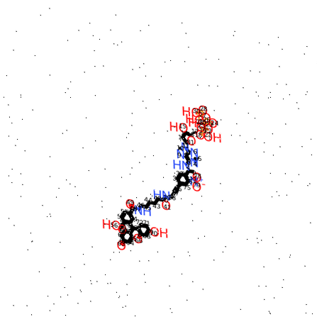 CC(Nc1ncnc2c1ncn2[C@H]1C[C@@H](O)[C@@H](COP(=O)(O)OP(=O)(O)OP(=O)(O)O)O1)c1ccc(C#CCNC(=O)CCCCCNC(=O)c2ccc(C(=O)O)c(-c3c4ccc(=O)cc-4oc4cc(O)ccc34)c2)cc1[N+](=O)[O-]